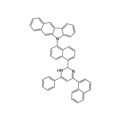 C1=C(c2ccccc2)NC(c2cccc3c(-n4c5ccccc5c5cc6ccccc6cc54)cccc23)N=C1c1cccc2ccccc12